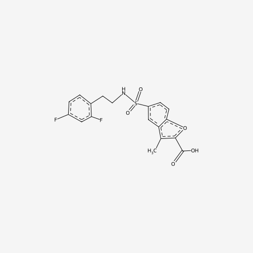 Cc1c(C(=O)O)oc2ccc(S(=O)(=O)NCCc3ccc(F)cc3F)cc12